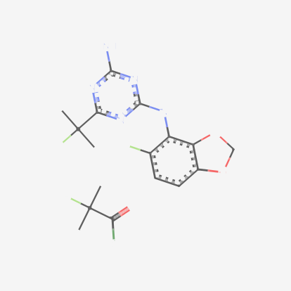 CC(C)(F)C(=O)Cl.CC(C)(F)c1nc(N)nc(Nc2c(F)ccc3c2OCO3)n1